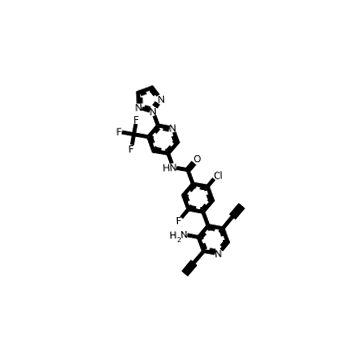 C#Cc1cnc(C#C)c(N)c1-c1cc(Cl)c(C(=O)Nc2cnc(-n3nccn3)c(C(F)(F)F)c2)cc1F